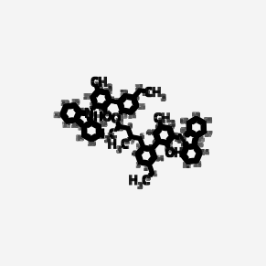 CCc1ccc(C[C@@H](C)CC(C)Oc2ccc(CC)cc2-c2cc(C)cc(-n3c4ccccc4c4ccccc43)c2O)c(-c2cc(C)cc(-n3c4ccccc4c4ccccc43)c2O)c1